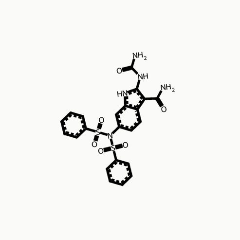 NC(=O)Nc1[nH]c2cc(N(S(=O)(=O)c3ccccc3)S(=O)(=O)c3ccccc3)ccc2c1C(N)=O